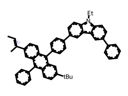 C/C=C(\C)c1ccc2c(-c3ccc(-c4ccc5c(c4)c4cc(-c6ccccc6)ccc4n5CC)cc3)c3cc(C(C)(C)C)ccc3c(-c3ccccc3)c2c1